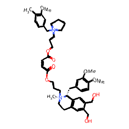 COc1cc(C[N+]2(CCCOC(=O)/C=C\C(=O)OCCC[N@+]3(C)CCc4cc(CO)c(CO)cc4[C@H]3Cc3ccc(OC)c(OC)c3)CCCC2)ccc1C